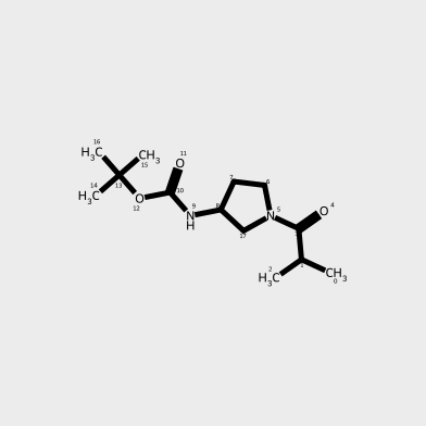 CC(C)C(=O)N1CCC(NC(=O)OC(C)(C)C)C1